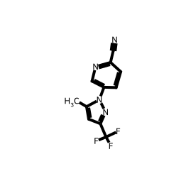 Cc1cc(C(F)(F)F)nn1-c1ccc(C#N)nc1